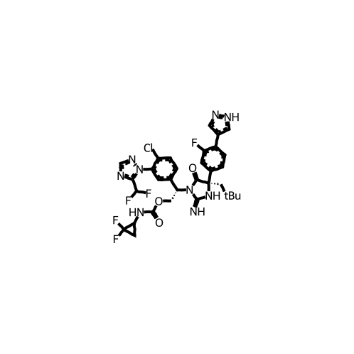 CC(C)(C)C[C@]1(c2ccc(-c3cn[nH]c3)c(F)c2)NC(=N)N([C@H](COC(=O)NC2CC2(F)F)c2ccc(Cl)c(-n3ncnc3C(F)F)c2)C1=O